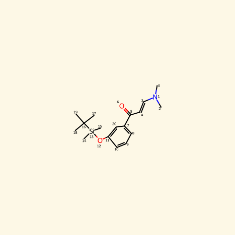 CN(C)C=CC(=O)c1cccc(O[Si](C)(C)C(C)(C)C)c1